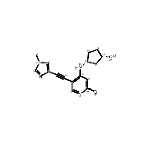 Cn1cnc(C#Cc2cnc(Cl)cc2N[C@@H]2CC[C@H](O)C2)c1